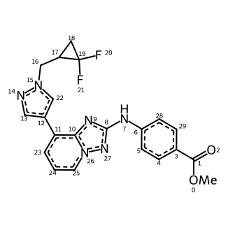 COC(=O)c1ccc(Nc2nc3c(-c4cnn(CC5CC5(F)F)c4)cccn3n2)cc1